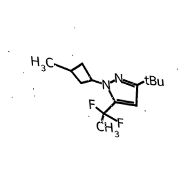 CC1CC(n2nc(C(C)(C)C)cc2C(C)(F)F)C1